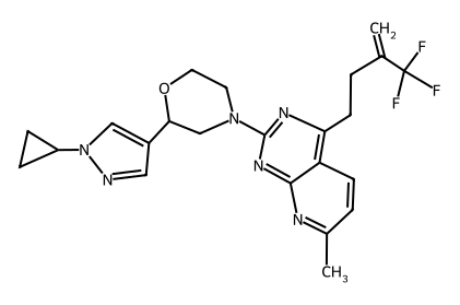 C=C(CCc1nc(N2CCOC(c3cnn(C4CC4)c3)C2)nc2nc(C)ccc12)C(F)(F)F